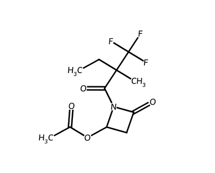 CCC(C)(C(=O)N1C(=O)CC1OC(C)=O)C(F)(F)F